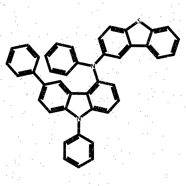 c1ccc(-c2ccc3c(c2)c2c(N(c4ccccc4)c4ccc5sc6ccccc6c5c4)cccc2n3-c2ccccc2)cc1